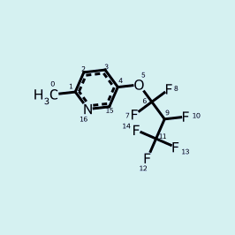 Cc1ccc(OC(F)(F)C(F)C(F)(F)F)cn1